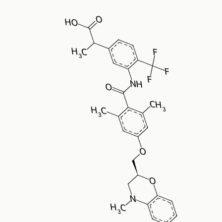 Cc1cc(OC[C@@H]2CN(C)c3ccccc3O2)cc(C)c1C(=O)Nc1cc(C(C)C(=O)O)ccc1C(F)(F)F